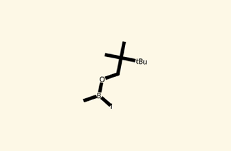 CB(I)OCC(C)(C)C(C)(C)C